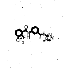 C[C@H](Sc1nncn1C)c1cccc(NC(=O)c2cccc(C(F)(F)F)c2F)c1